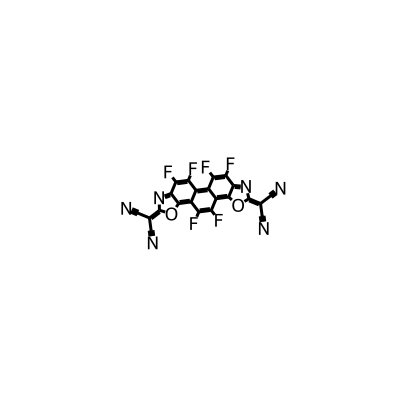 N#CC(C#N)=c1nc2c(F)c(F)c3c(c(F)c(F)c4c5oc(=C(C#N)C#N)nc5c(F)c(F)c43)c2o1